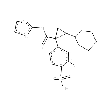 CS(=O)(=O)c1ccc(C2(C(=O)Nc3nccs3)CC2C2CCCCC2)cc1C(F)(F)F